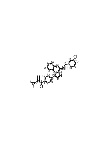 O=C(NC1CC1)c1ccc(-c2cnc3c(NCc4cccc(Cl)c4)nc4ccccc4n23)cc1